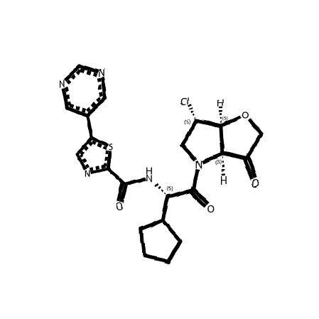 O=C(N[C@H](C(=O)N1C[C@H](Cl)[C@H]2OCC(=O)[C@H]21)C1CCCC1)c1ncc(-c2cncnc2)s1